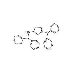 c1ccc(C(NC2CCN(C(c3ccccc3)c3ccccc3)C2)c2ccccc2)cc1